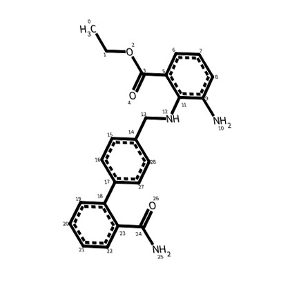 CCOC(=O)c1cccc(N)c1NCc1ccc(-c2ccccc2C(N)=O)cc1